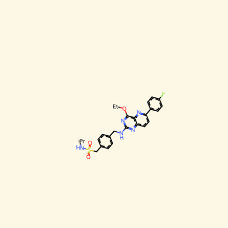 CCOc1nc(NCc2ccc(CS(=O)(=O)NC(C)C)cc2)nc2ccc(-c3ccc(F)cc3)nc12